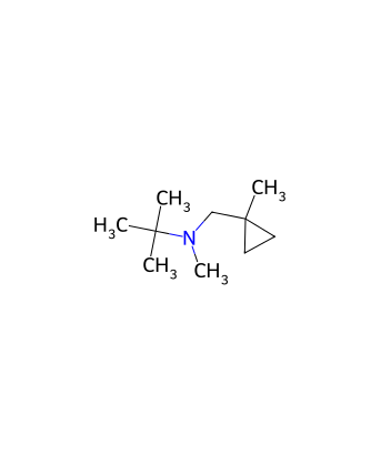 CN(CC1(C)CC1)C(C)(C)C